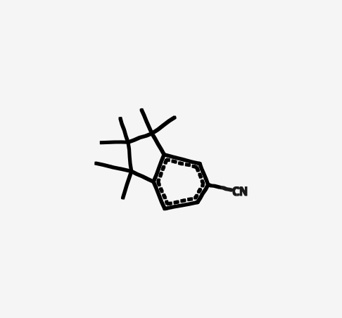 CC1(C)c2ccc(C#N)cc2C(C)(C)C1(C)C